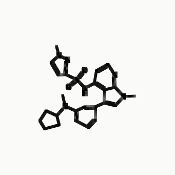 CN(c1cccc(-c2cn(C)c3nccc(NS(=O)(=O)c4ccn(C)n4)c23)c1)C1CCCC1